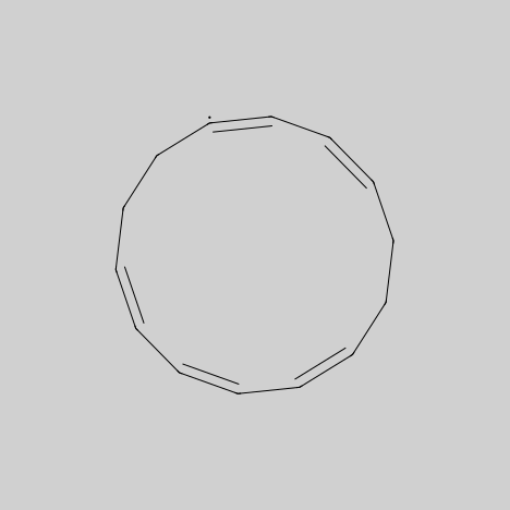 [C]1=CC=CCCC=CC=CC=CCC1